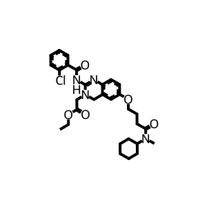 CCOC(=O)CN1Cc2cc(OCCCC(=O)N(C)C3CCCCC3)ccc2N=C1NC(=O)c1ccccc1Cl